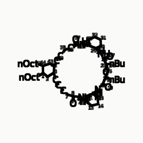 CCCCCCCCC1CC2CCCCC(=O)N[C@H]3CCCC[C@@H]3NC(=O)C3(CCCC)CC(CCCC)(C3)C(=O)N[C@@H]3CCCC[C@H]3NC(=O)CCCCC2CC1CCCCCCCC